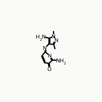 Cc1nn(C)c(N)c1/N=C1/C=CC(=O)C(N)=N1